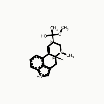 COC(C)(O)[C@@H]1C=C2c3cccc4[nH]cc(c34)C[C@H]2N(C)C1